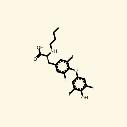 CCCCN[C@@H](Cc1cc(I)c(Oc2cc(I)c(O)c(I)c2)c(I)c1)C(=O)O